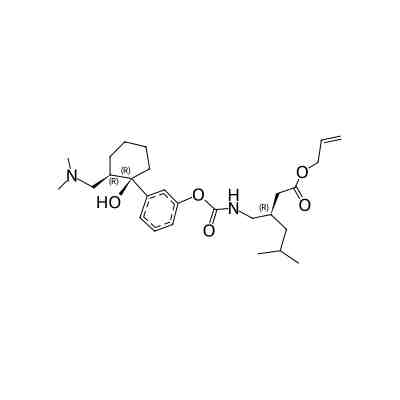 C=CCOC(=O)C[C@H](CNC(=O)Oc1cccc([C@@]2(O)CCCC[C@@H]2CN(C)C)c1)CC(C)C